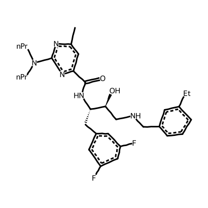 CCCN(CCC)c1nc(C)cc(C(=O)N[C@@H](Cc2cc(F)cc(F)c2)[C@@H](O)CNCc2cccc(CC)c2)n1